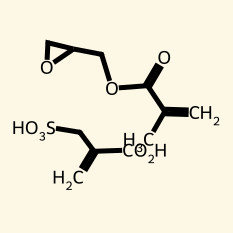 C=C(C)C(=O)OCC1CO1.C=C(CS(=O)(=O)O)C(=O)O